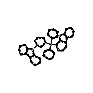 c1ccc([Si](c2ccccc2)(c2ccnc(-n3c4ccccc4c4ccccc43)c2)c2cccc3c2sc2ccccc23)cc1